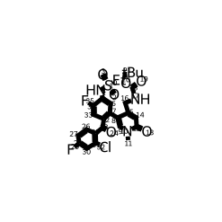 CCS(=O)(=O)Nc1cc(-c2cn(C)c(=O)cc2CNC(=O)OC(C)(C)C)c(C(=O)c2ccc(F)cc2Cl)cc1F